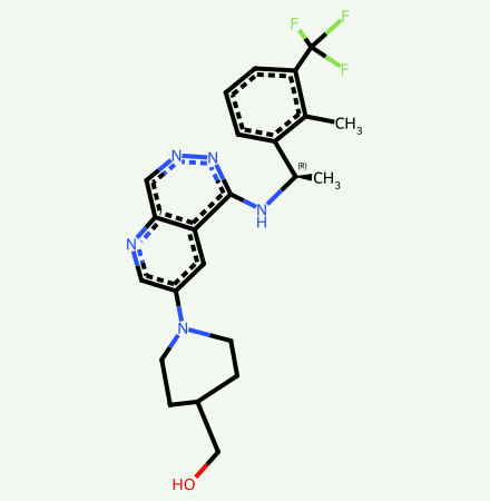 Cc1c([C@@H](C)Nc2nncc3ncc(N4CCC(CO)CC4)cc23)cccc1C(F)(F)F